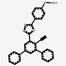 C#Cc1c(-c2ccccc2)cc(-c2ccccc2)cc1-c1nnc(-c2ccc(OCCCCCCCC)cc2)o1